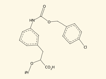 CC(C)OC(Cc1cccc(NC(=O)OCc2ccc(Cl)cc2)c1)C(=O)O